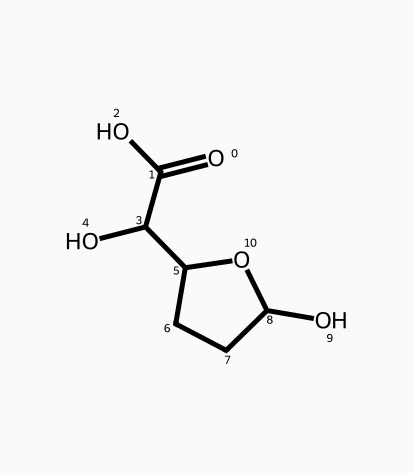 O=C(O)C(O)C1CCC(O)O1